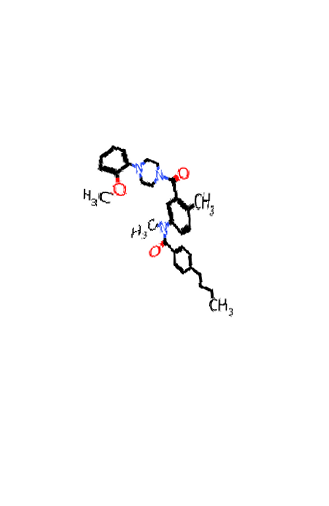 CCCCc1ccc(C(=O)N(C)c2ccc(C)c(C(=O)N3CCN(c4ccccc4OC)CC3)c2)cc1